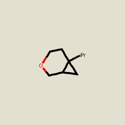 CC(C)C12CCOCC1C2